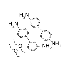 CCOCC.CCOCC.Nc1ccc(-c2ccc(N)cc2)cc1.Nc1ccc(-c2cccc(N)c2)cc1